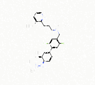 C=C1C=C(c2cc(F)c(CN(C=O)CCCc3ncccc3C)cc2F)C=C/C1=N/N(C)CC